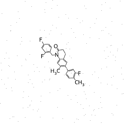 Cc1ccc(-c2cc3c(cc2C)N(Cc2ccc(F)cc2F)C(=O)CC3)cc1F